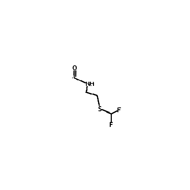 O=[C]NCCSC(F)F